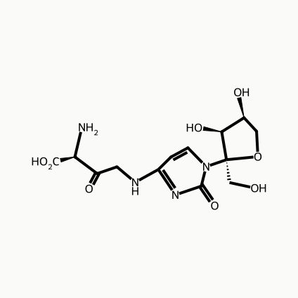 N[C@H](C(=O)O)C(=O)CNc1ccn([C@]2(CO)OC[C@H](O)[C@@H]2O)c(=O)n1